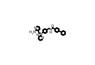 Nc1ncccc1-c1nc2cccnc2n1-c1ccc(CNC(=O)c2ccc(-c3ccccc3)cc2)cc1